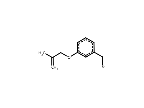 C=C(C)COc1cccc(CBr)c1